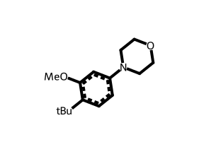 COc1cc(N2CCOCC2)ccc1C(C)(C)C